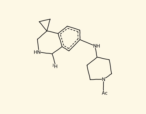 [2H]C1NCC2(CC2)c2ccc(NC3CCN(C(C)=O)CC3)cc21